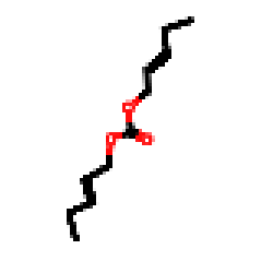 CCC=CCOC(=O)OCC=CCC